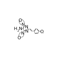 COc1ccc(/C=C/c2nc(N3CCOCC3)c(N)c(N3CCOCC3)n2)cc1